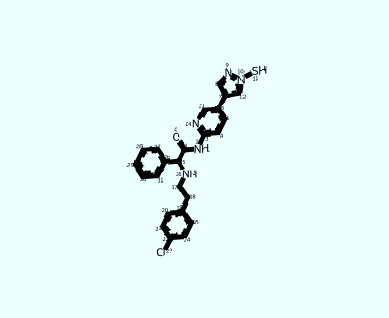 O=C(Nc1ccc(-c2cnn(S)c2)cn1)C(NCCc1ccc(Cl)cc1)c1ccccc1